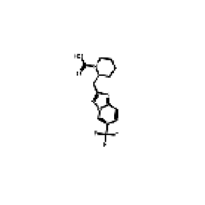 O=C(O)N1CCCC[C@H]1Cc1cn2cc(C(F)(F)F)ccc2n1